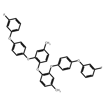 Cc1ccc(Oc2ccc(C)cc2Oc2ccc(Oc3cccc(F)c3)cc2)c(Oc2ccc(Oc3cccc(F)c3)cc2)c1